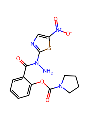 NN(C(=O)c1ccccc1OC(=O)N1CCCC1)c1ncc([N+](=O)[O-])s1